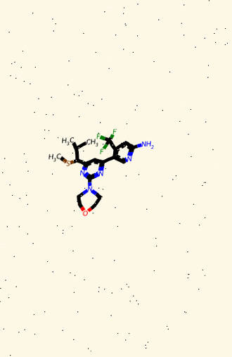 CSC(c1cc(-c2cnc(N)cc2C(F)(F)F)nc(N2CCOCC2)n1)C(C)C